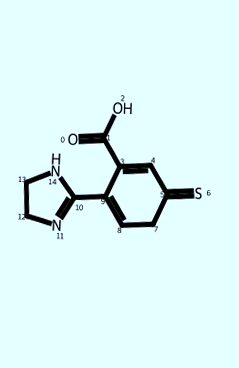 O=C(O)C1=CC(=S)CC=C1C1=NCCN1